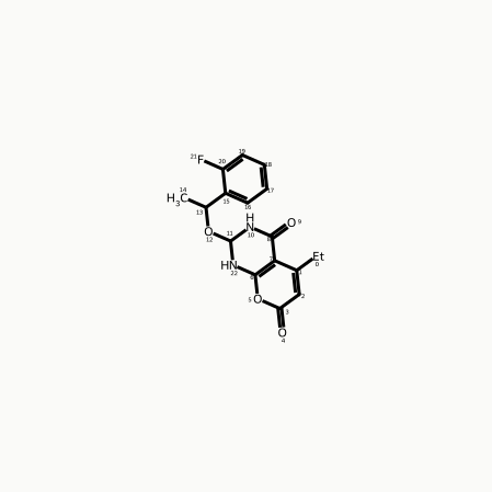 CCc1cc(=O)oc2c1C(=O)NC(OC(C)c1ccccc1F)N2